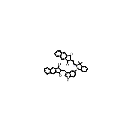 Cn1cc(C=C2C(=O)c3cc4ccccc4cc3C2=O)c2cc(N3/C(=C/C=C4C(=O)c5cc6ccccc6cc5C4=O)C(C)(C)c4ccccc43)ccc21